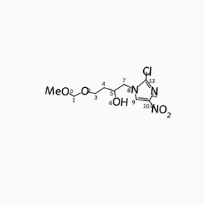 COCOCCC(O)Cn1cc([N+](=O)[O-])nc1Cl